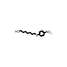 O=[N+]([O-])c1ccc(SCCCCCCCO)cc1